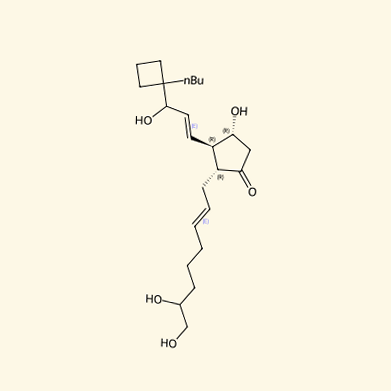 CCCCC1(C(O)/C=C/[C@H]2[C@H](O)CC(=O)[C@@H]2C/C=C/CCCC(O)CO)CCC1